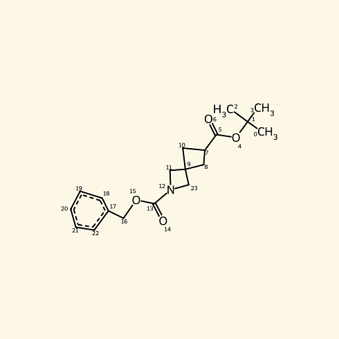 CC(C)(C)OC(=O)C1CC2(C1)CN(C(=O)OCc1ccccc1)C2